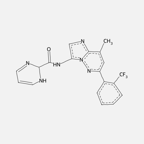 Cc1cc(-c2ccccc2C(F)(F)F)nn2c(NC(=O)C3N=CC=CN3)cnc12